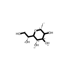 OC[C@@H](O)C1O[C@H](I)C(O)C(O)[C@@H]1O